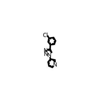 Clc1cccc(-c2cn(-c3cccnc3)nn2)c1